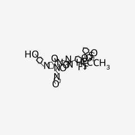 CC(C)CS(=O)(=O)c1ccccc1Oc1ccc(-c2noc(CN3C(=O)N(CCN4CCOCC4)C4(CCN(Cc5ccc(O)cc5)CC4)C3=O)n2)cc1C(F)(F)F